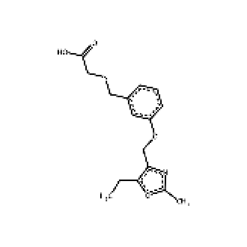 CCc1oc(C)nc1COc1cccc(CSCC(=O)O)c1